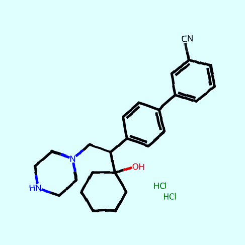 Cl.Cl.N#Cc1cccc(-c2ccc(C(CN3CCNCC3)C3(O)CCCCC3)cc2)c1